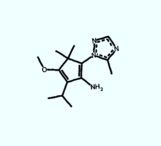 COC1=C(C(C)C)C(N)=C(n2ncnc2C)C1(C)C